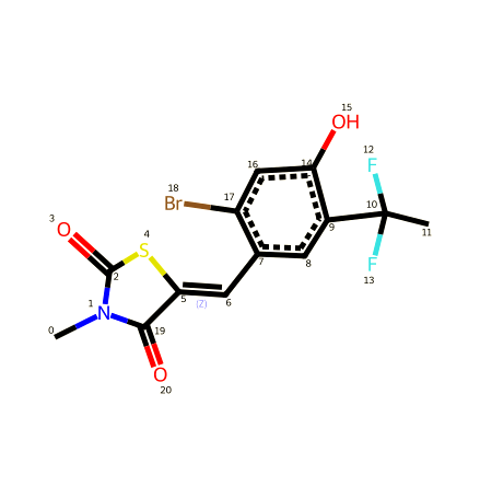 CN1C(=O)S/C(=C\c2cc(C(C)(F)F)c(O)cc2Br)C1=O